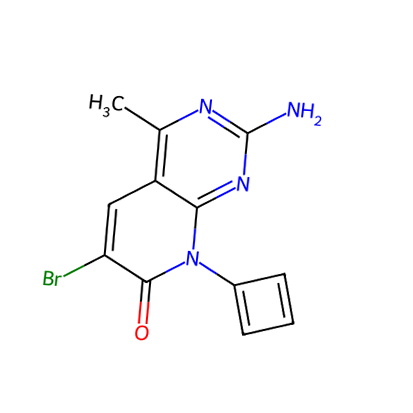 Cc1nc(N)nc2c1cc(Br)c(=O)n2C1=CC=C1